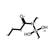 CCCC(=O)N(C)[Si](C)(O)O